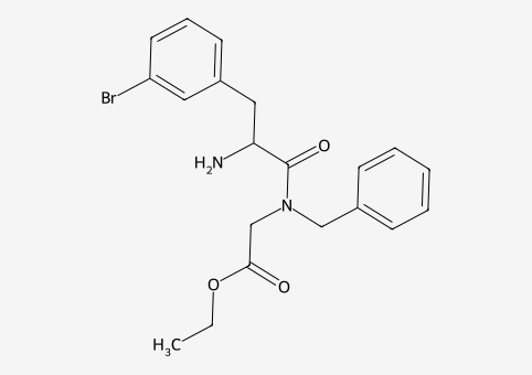 CCOC(=O)CN(Cc1ccccc1)C(=O)C(N)Cc1cccc(Br)c1